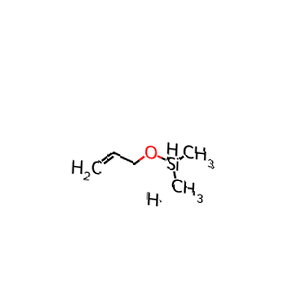 C=CCO[SiH](C)C.[H]